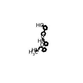 CNCCC(Oc1ccccc1NCCN1CCC(c2cccc(O)c2)CC1)c1ccccc1